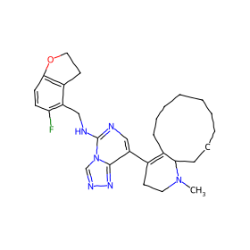 CN1CCC(c2cnc(NCc3c(F)ccc4c3CCO4)n3cnnc23)=C2CCCCCCCCCC21